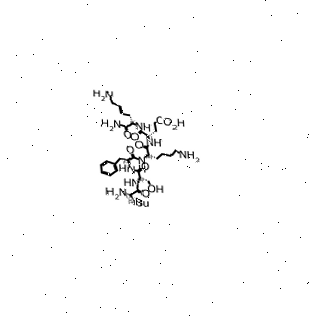 CC[C@H](C)[C@H](N)C(=O)N[C@@H](CO)C(=O)N[C@@H](Cc1ccccc1)C(=O)N[C@@H](CCCCN)C(=O)N[C@@H](CCC(=O)O)C(=O)N[C@@H](CCCCN)C(N)=O